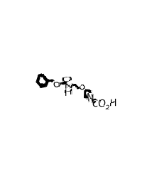 O=C(NCCOC1CN(C(=O)O)C1)OCc1ccccc1